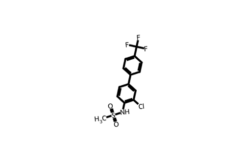 CS(=O)(=O)Nc1ccc(-c2ccc(C(F)(F)F)cc2)cc1Cl